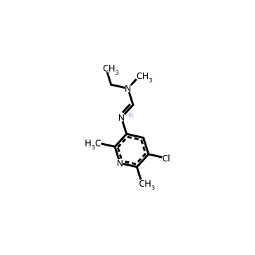 CCN(C)/C=N/c1cc(Cl)c(C)nc1C